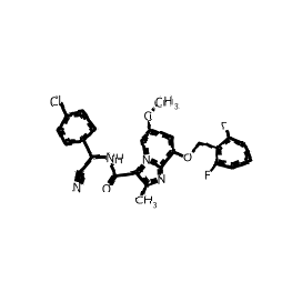 COc1cc(OCc2c(F)cccc2F)c2nc(C)c(C(=O)NC(C#N)c3ccc(Cl)cc3)n2c1